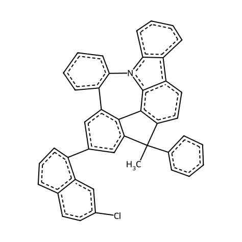 CC1(c2ccccc2)c2cc(-c3cccc4ccc(Cl)cc34)cc3c2-c2c1ccc1c4ccccc4n(c21)-c1ccccc1-3